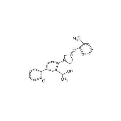 Cc1cccnc1O[C@H]1CCN(c2ccc(-c3ccccc3Cl)cc2C(C)O)C1